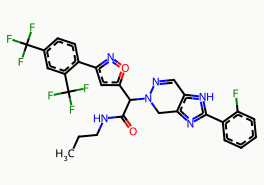 CCCNC(=O)C(c1cc(-c2ccc(C(F)(F)F)cc2C(F)(F)F)no1)N1Cc2nc(-c3ccccc3F)[nH]c2C=N1